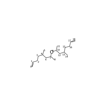 C=CCCC(C)CC(C)OC(C)CC(C)CCC=C